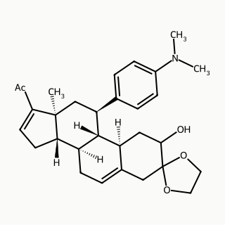 CC(=O)C1=CC[C@H]2[C@@H]3CC=C4CC5(OCCO5)C(O)C[C@@H]4[C@H]3[C@H](c3ccc(N(C)C)cc3)C[C@]12C